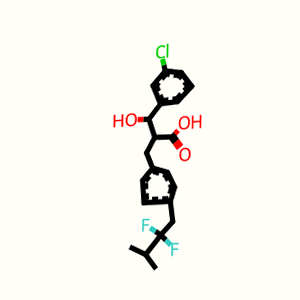 CC(C)C(F)(F)Cc1ccc(CC(C(=O)O)C(O)c2cccc(Cl)c2)cc1